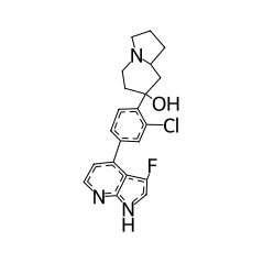 OC1(c2ccc(-c3ccnc4[nH]cc(F)c34)cc2Cl)CCN2CCCC2C1